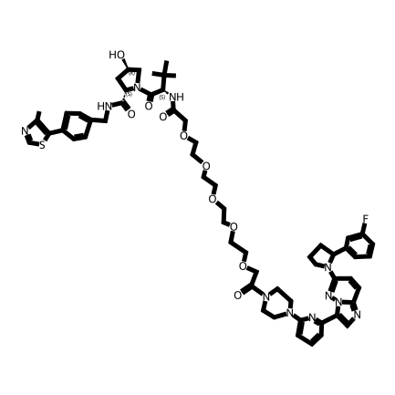 Cc1ncsc1-c1ccc(CNC(=O)[C@@H]2C[C@@H](O)CN2C(=O)[C@@H](NC(=O)COCCOCCOCCOCCOCC(=O)N2CCN(c3cccc(-c4cnc5ccc(N6CCCC6c6cccc(F)c6)nn45)n3)CC2)C(C)(C)C)cc1